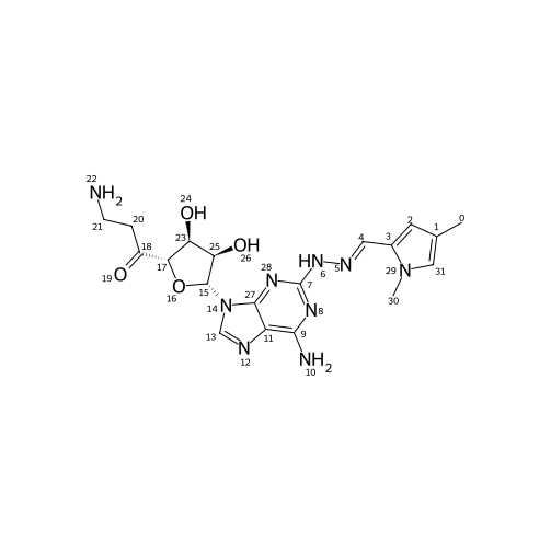 Cc1cc(/C=N/Nc2nc(N)c3ncn([C@@H]4O[C@H](C(=O)CCN)[C@@H](O)[C@H]4O)c3n2)n(C)c1